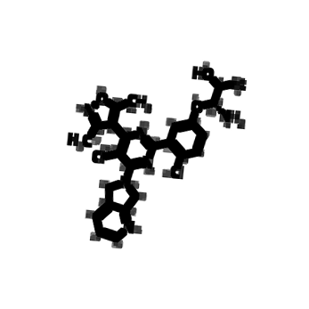 CCC(O)[C@H](N)Oc1ccc(Cl)c(-c2nc(-c3c(C)noc3C)c(Cl)c(N3Cc4cccnc4C3)n2)c1